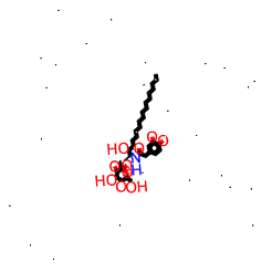 CCCCCCCCCCCCCCCCC(O)[C@H](COC12COC1C(O)C(OC)C(CO)O2)NC(=O)Cc1ccc(OC)c(OC)c1